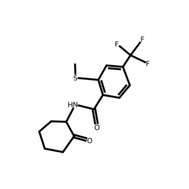 CSc1cc(C(F)(F)F)ccc1C(=O)NC1CCCCC1=O